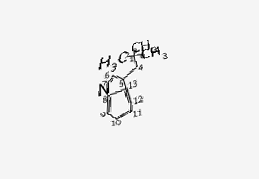 CC(C)(C)CC1C=Nc2ccccc21